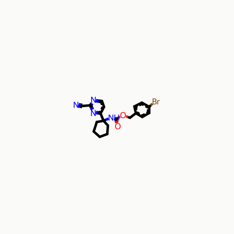 N#Cc1nccc(C2(NC(=O)OCc3ccc(Br)cc3)CCCCC2)n1